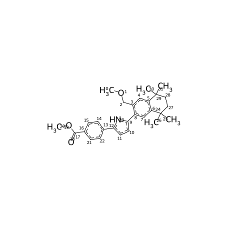 COCc1cc2c(cc1-c1ccc(-c3ccc(C(=O)OC)cc3)[nH]1)C(C)(C)CCC2(C)C